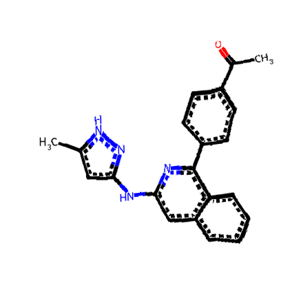 CC(=O)c1ccc(-c2nc(Nc3cc(C)[nH]n3)cc3ccccc23)cc1